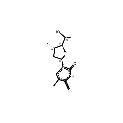 Cc1cn([C@H]2C[C@H](C)[C@@H]([C@@H](C)O)O2)c(=O)[nH]c1=O